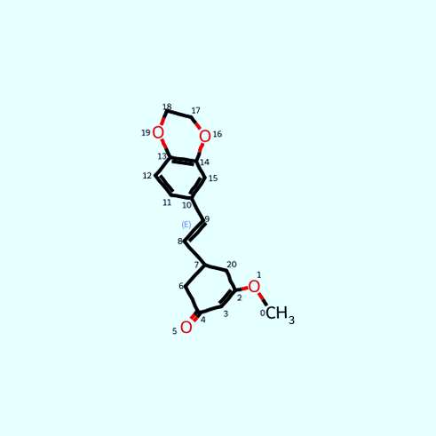 COC1=CC(=O)CC(/C=C/c2ccc3c(c2)OCCO3)C1